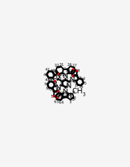 CC1C=Cc2c1n(-c1nc(-n3c4c(c5ccccc53)C=C=C4)c(N3C4=C(CCC=C4)C4C=CC#CC43)c(-c3nc4ccccc4s3)c1-n1c3c(c4ccccc41)CCC3C)c1ccccc21